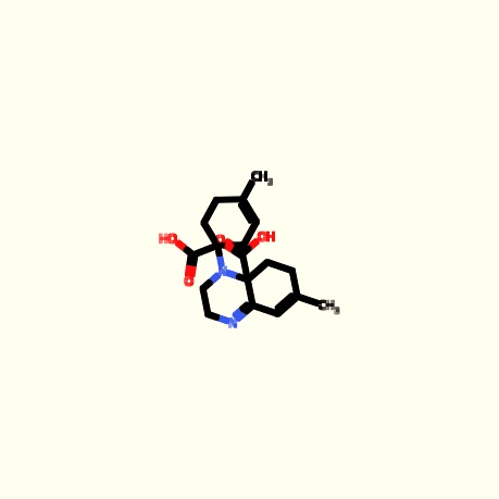 CC1=CCC(C(=O)O)(N2CCN=C3C=C(C)CCC32C(=O)O)CC1